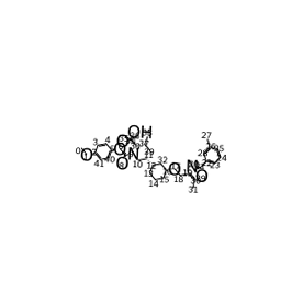 COc1ccc(OC(=O)N(CC[C@H]2CCC[C@@H](OCc3nc(-c4cccc(C)c4)oc3C)C2)[C@H](C(=O)O)C(C)C)cc1